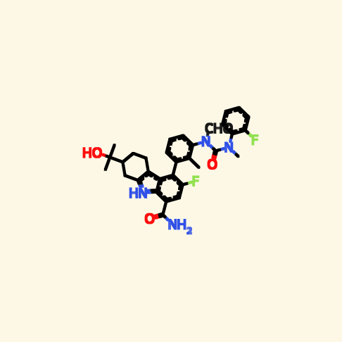 Cc1c(-c2c(F)cc(C(N)=O)c3[nH]c4c(c23)CCC(C(C)(C)O)C4)cccc1N(C=O)C(=O)N(C)c1ccccc1F